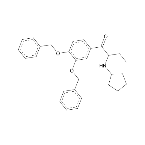 CCC(NC1CCCC1)C(=O)c1ccc(OCc2ccccc2)c(OCc2ccccc2)c1